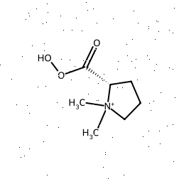 C[N+]1(C)CCC[C@H]1C(=O)OO